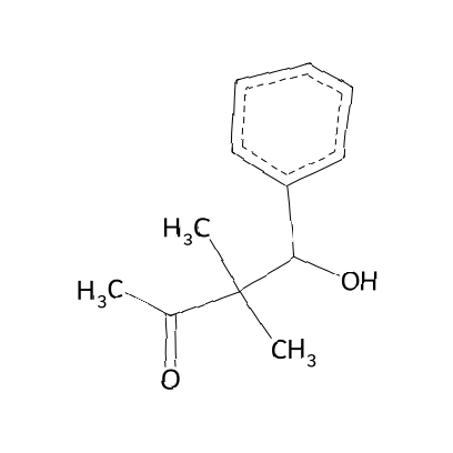 CC(=O)C(C)(C)C(O)c1ccccc1